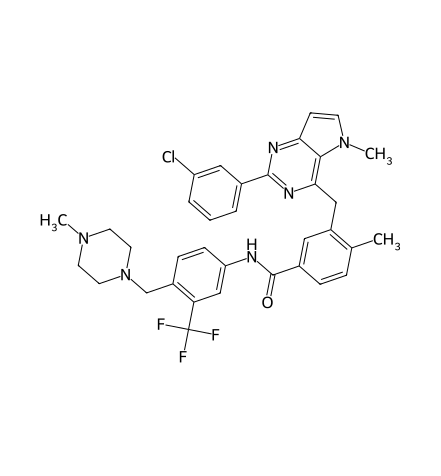 Cc1ccc(C(=O)Nc2ccc(CN3CCN(C)CC3)c(C(F)(F)F)c2)cc1Cc1nc(-c2cccc(Cl)c2)nc2ccn(C)c12